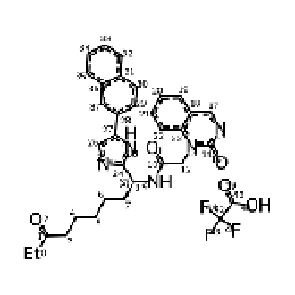 CCC(=O)CCCCC[C@H](NC(=O)Cn1c(=O)ncc2ccccc21)c1ncc(-c2ccc3ccccc3c2)[nH]1.O=C(O)C(F)(F)F